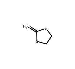 C=C1SCCS1